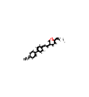 C=CC1CCC(CCc2ccc(C3CCC(CCC)CC3)cc2)CO1